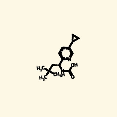 CC(C)(C)C[C@H](NC(=O)O)c1ccc(C2CC2)cn1